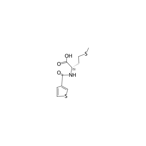 CSCC[C@H](NC(=O)c1ccsc1)C(=O)O